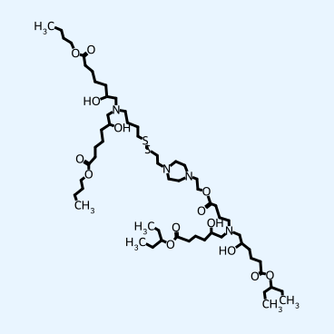 CCCCOC(=O)CCCCC(O)CN(CCCCSSCCN1CCN(CCOC(=O)CCCN(CC(O)CCCC(=O)OC(CC)CC)CC(O)CCCC(=O)OC(CC)CC)CC1)CC(O)CCCCC(=O)OCCCC